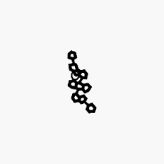 c1ccc(-c2ccc3c(-c4c5ccccc5c(-c5cccc6c5oc5ccc(-c7ccccc7)cc56)c5ccccc45)cccc3c2)cc1